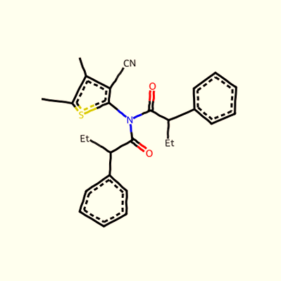 CCC(C(=O)N(C(=O)C(CC)c1ccccc1)c1sc(C)c(C)c1C#N)c1ccccc1